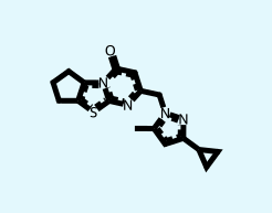 Cc1cc(C2CC2)nn1Cc1cc(=O)n2c3c(sc2n1)CCC3